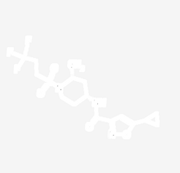 C[C@@H]1C[C@H](NC(=O)c2cc(C3CC3)on2)CCN1S(=O)(=O)CCC(F)(F)F